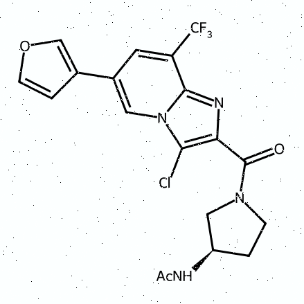 CC(=O)N[C@@H]1CCN(C(=O)c2nc3c(C(F)(F)F)cc(-c4ccoc4)cn3c2Cl)C1